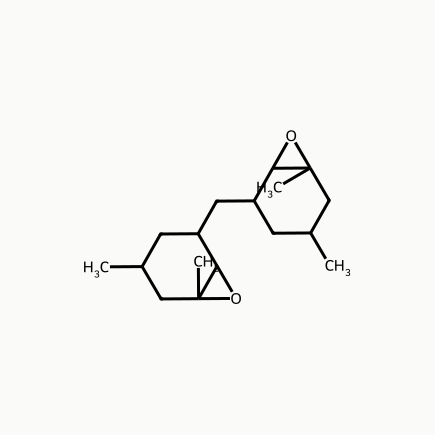 CC1CC(CC2CC(C)CC3(C)OC23)C2OC2(C)C1